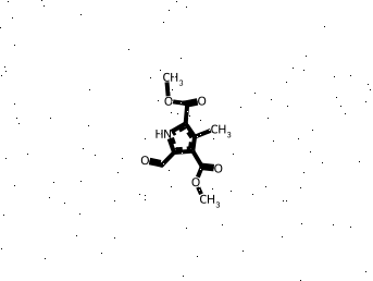 COC(=O)c1[nH]c(C=O)c(C(=O)OC)c1C